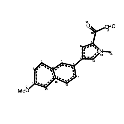 COc1ccc2cc(-c3cc(C(=O)C=O)n(C)c3)ccc2c1